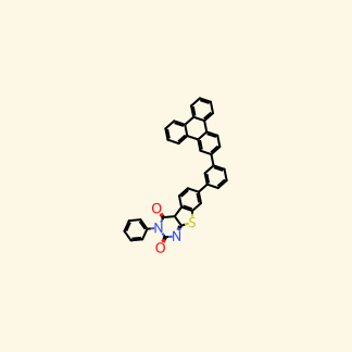 O=C1N=C2Sc3cc(-c4cccc(-c5ccc6c7ccccc7c7ccccc7c6c5)c4)ccc3C2C(=O)N1c1ccccc1